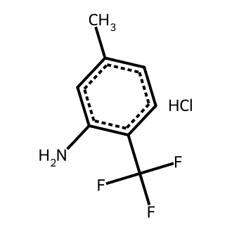 Cc1ccc(C(F)(F)F)c(N)c1.Cl